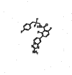 Nc1nc2cc(-c3ccc(F)c(C(=O)NCC(F)(F)Cc4ccc(F)cc4)c3F)ccn2n1